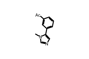 CC(=O)c1cccc(-c2cncn2C)c1